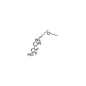 CCCCCOC(C)CCCC=Cc1cnc2cc(-c3ccc(O)c(F)c3F)ccc2n1